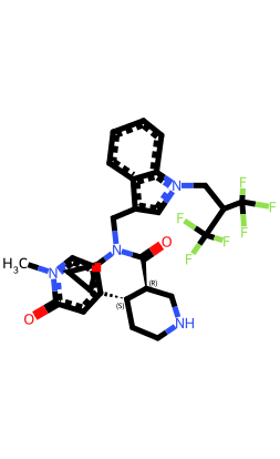 Cn1ccc([C@H]2CCNC[C@@H]2C(=O)N(Cc2cn(CC(C(F)(F)F)C(F)(F)F)c3ccccc23)C2CC2)cc1=O